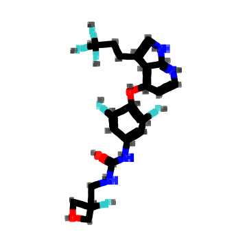 O=C(NCC1(F)COC1)Nc1cc(F)c(Oc2ccnc3[nH]cc(CCC(F)(F)F)c23)c(F)c1